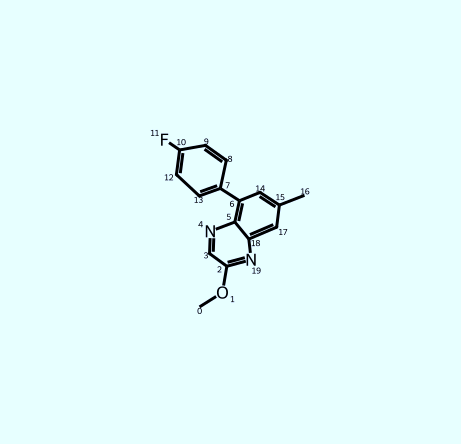 COc1cnc2c(-c3ccc(F)cc3)cc(C)cc2n1